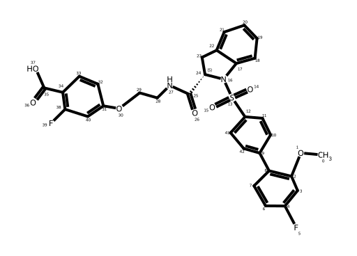 COc1cc(F)ccc1-c1ccc(S(=O)(=O)N2c3ccccc3C[C@H]2C(=O)NCCOc2ccc(C(=O)O)c(F)c2)cc1